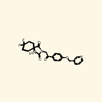 O=C(CN1C(=O)NC2(CCC(F)(F)CC2)C1=O)c1ccc(OCc2cccnc2)cc1